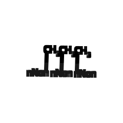 CCCCCCCCCC.CCCCCCCCCC.CCCCCCCCCC